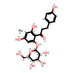 O=C(CCc1ccc(O)cc1)c1c(O)cc(O)cc1O[C@@H]1O[C@H](CO)[C@@H](O)[C@H](O)[C@H]1O.[Au]